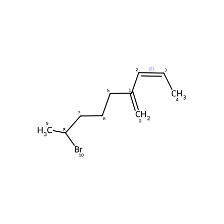 C=C(/C=C\C)CCCC(C)Br